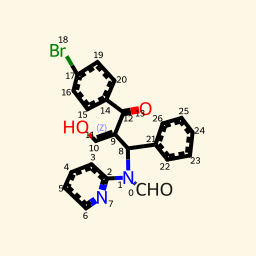 O=CN(c1ccccn1)C(/C(=C/O)C(=O)c1ccc(Br)cc1)c1ccccc1